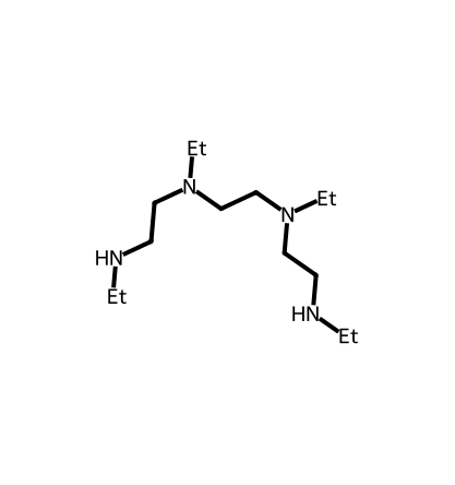 CCNCCN(CC)CCN(CC)CCNCC